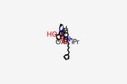 CC(=O)Oc1cc(O)c2c3c1O[C@H]1[C@@H](N(CC(C)C)C(=O)CCCCCc4ccccc4)CC[C@H]4[C@@H](C2)N(CC2CC2)CC[C@@]341